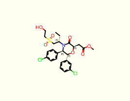 CC[C@@H](CS(=O)(=O)CCO)N1C(=O)[C@@H](CC(=O)OC)O[C@H](c2cccc(Cl)c2)[C@H]1c1ccc(Cl)cc1